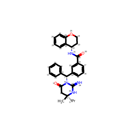 CC(C)[C@]1(C)CC(=O)N([C@H](c2ccccc2)c2cccc(C(=O)N[C@H]3CCOc4ccccc43)c2)C(=N)N1